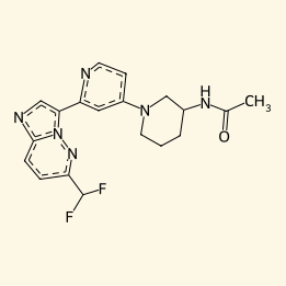 CC(=O)NC1CCCN(c2ccnc(-c3cnc4ccc(C(F)F)nn34)c2)C1